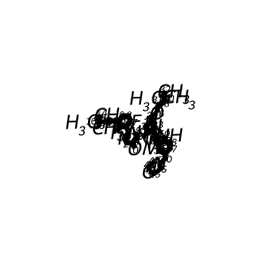 COc1cnc(-c2c(F)ccc(C#C[Si](C)(C)C)c2F)nc1Nc1cn(COCC[Si](C)(C)C)nc1-c1nc2cc(CN3CCOCC3)ccc2[nH]1